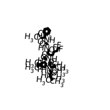 CN(C)C(=O)[C@@H](NC(=O)CNC(=O)C(=O)C(CCCC(F)(F)F)NC(=O)[C@@H]1[C@@H]2[C@H](CN1C(=O)[C@@H](NC(=O)NC(C)(C)C)C(C)(C)C)C2(C)C)c1ccccc1